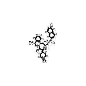 CC[C@H](CN1CCC(CNC(=O)c2ccc3cc(Cl)ccc3c2)NC(C2CCN(CC)CC2)C1=O)c1ccccc1